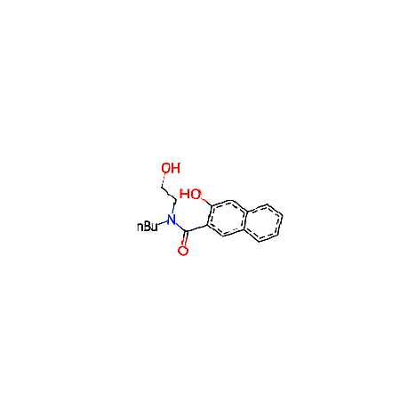 CCCCN(CCO)C(=O)c1cc2ccccc2cc1O